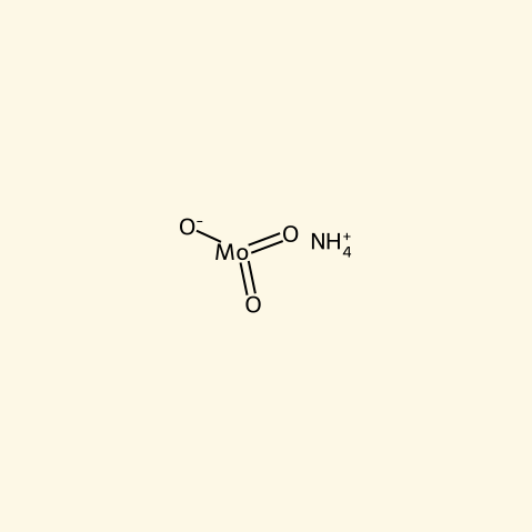 [NH4+].[O]=[Mo](=[O])[O-]